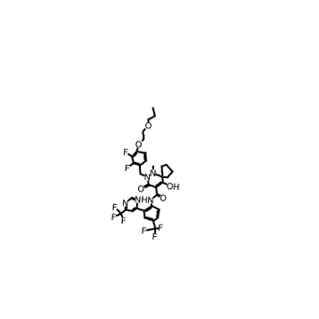 CCCOCCOc1ccc(CN2C(=O)C(C(=O)Nc3ccc(C(F)(F)F)cc3-c3cc(C(F)(F)F)ncn3)=C(O)C3(CCCC3)N2C)c(F)c1F